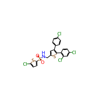 O=S(=O)(NCc1cc(-c2ccc(Cl)cc2)c(-c2ccc(Cl)cc2Cl)s1)c1ccc(Cl)s1